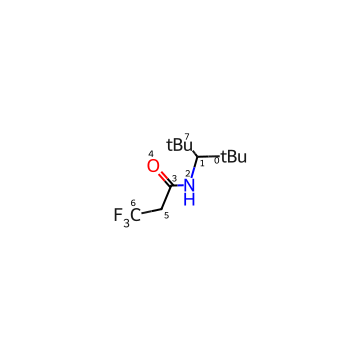 CC(C)(C)C(NC(=O)CC(F)(F)F)C(C)(C)C